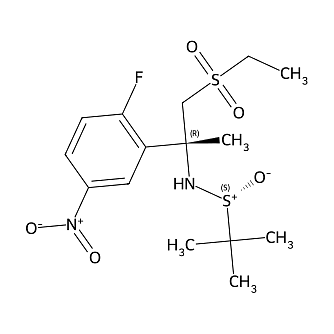 CCS(=O)(=O)C[C@](C)(N[S@+]([O-])C(C)(C)C)c1cc([N+](=O)[O-])ccc1F